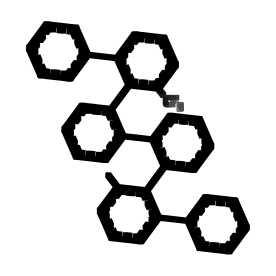 Cc1cccc(-c2ccccc2)c1-c1ccccc1-c1ccccc1-c1c(-c2ccccc2)cccc1C(F)(F)F